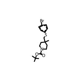 CC1(CSc2ccc(Br)cc2)CCN(C(=O)OC(C)(C)C)CC1